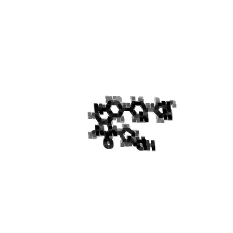 Cl.Cn1cc(-c2ccc(-c3ccc4ncc5c(c4c3)n([C@H]3CCNC3)c(=O)n5C)cn2)cn1